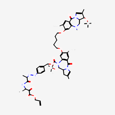 C=CCOC(=O)C(=O)C(NC(=O)C(C)NNc1ccc(COC(=O)N2c3cc(OCCCCCOc4cc5c(cc4OC)C(=O)N4C=C(C)C(O[Si](C)(C)C(C)(C)C)C4CN5C(=O)O)c(OC)cc3C(=O)N3C=C(C)CC3[C@@H]2O[Si](C)(C)C(C)(C)C)cc1)C(C)C